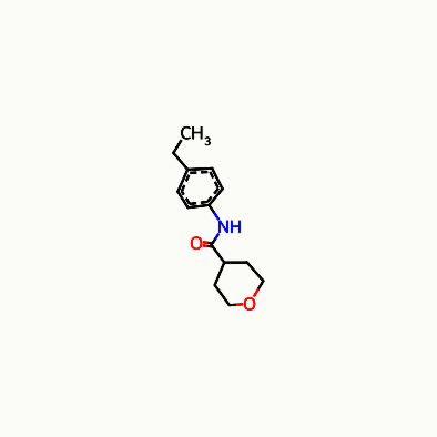 CCc1ccc(NC(=O)C2CCOCC2)cc1